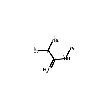 C=C(NC(C)C)C(CC)CCCC